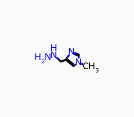 Cn1cnc(CNN)c1